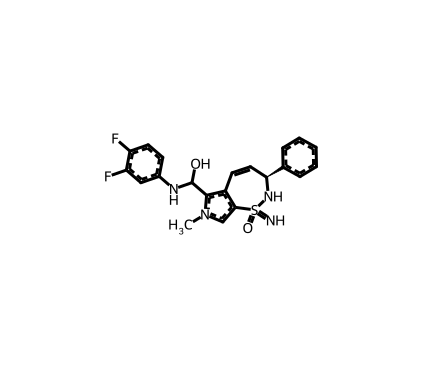 Cn1cc2c(c1C(O)Nc1ccc(F)c(F)c1)C=C[C@@H](c1ccccc1)NS2(=N)=O